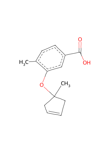 Cc1ccc(C(=O)O)cc1OC1(C)CC=CC1